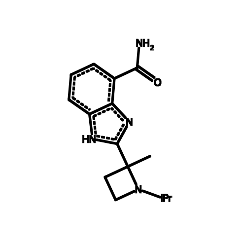 CC(C)N1CCC1(C)c1nc2c(C(N)=O)cccc2[nH]1